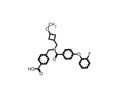 COC1CC(CN(Cc2ccc(C(=O)O)cc2)C(=O)c2ccc(Oc3ccccc3F)cc2)C1